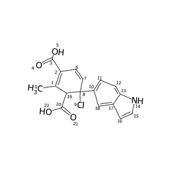 CC1=C(C(=O)O)C=CC(Cl)(c2ccc3[nH]ccc3c2)C1C(=O)O